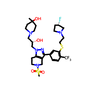 CC1(O)CCN(C[C@H](O)Cn2nc(-c3ccc(C(F)(F)F)c(SCCN4CC[C@H](F)C4)c3)c3c2CCN(S(C)(=O)=O)C3)CC1